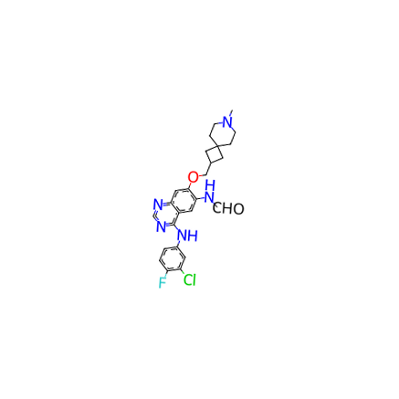 CN1CCC2(CC1)CC(COc1cc3ncnc(Nc4ccc(F)c(Cl)c4)c3cc1NC=O)C2